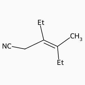 CCC(C)=C(CC)CC#N